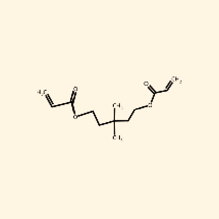 C=CC(=O)OCCC(C)(C)CCOC(=O)C=C